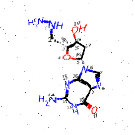 NNC[C@H]1O[C@@H](n2cnc3c(=O)[nH]c(N)nc32)C[C@@H]1O